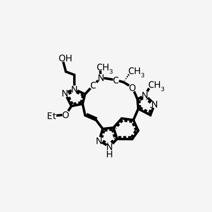 CCOc1nn(CCO)c2c1/C=C/c1n[nH]c3ccc(cc13)-c1cnn(C)c1O[C@@H](C)CN(C)C2